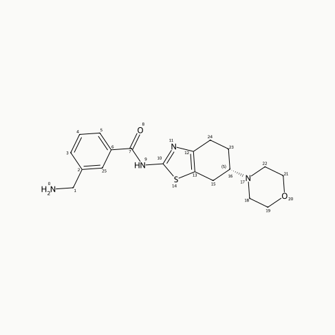 NCc1cccc(C(=O)Nc2nc3c(s2)C[C@@H](N2CCOCC2)CC3)c1